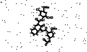 COc1cc(C=O)c(NC(=O)C2=Cc3ccccc3/C(=N/Nc3cc(N=S(=O)=O)ccc3OC)C2=O)cc1Cl